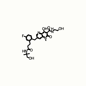 Cn1c(=O)c(C(=O)NCCO)c(O)c2ncc(Cc3ccc(F)cc3CCC(=O)NC(C)(C)CO)cc21